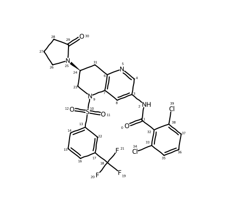 O=C(Nc1cnc2c(c1)N(S(=O)(=O)c1cccc(C(F)(F)F)c1)C[C@@H](N1CCCC1=O)C2)c1c(Cl)cccc1Cl